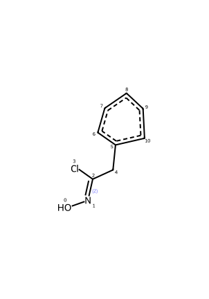 O/N=C(\Cl)Cc1ccccc1